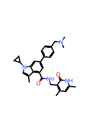 Cc1cc(C)c(CNC(=O)c2cc(-c3ccc(CN(C)C)cc3)cc3c2c(C)cn3C2CC2)c(=O)[nH]1